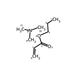 C=CC(=O)OCCC.CN(C)C